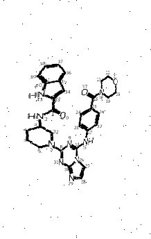 O=C(NC1CCCN(c2nc(Nc3ccc(C(=O)N4CCOCC4)cc3)n3ccnc3n2)C1)c1cc2ccccc2[nH]1